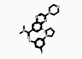 CN(C)C(=O)c1cc([C@@H]2CCCN2c2cc(F)cc(F)c2)c2nc(N3CCOCC3)cnc2c1